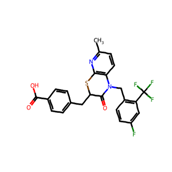 Cc1ccc2c(n1)SC(Cc1ccc(C(=O)O)cc1)C(=O)N2Cc1ccc(F)cc1C(F)(F)F